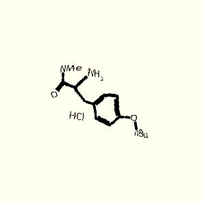 CCCCOc1ccc(CC(N)C(=O)NC)cc1.Cl